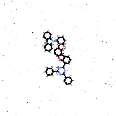 c1ccc(C2=NC(c3cccc4c3oc3ccc5c(oc6cccc(-n7c8ccccc8c8ccccc87)c65)c34)NC(c3ccccc3)=N2)cc1